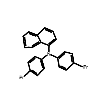 CC(C)c1ccc(N(c2ccc(C(C)C)cc2)c2cccc3ccccc23)cc1